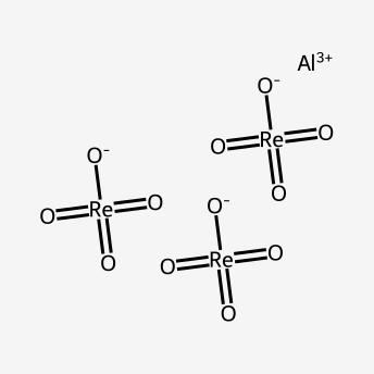 [Al+3].[O]=[Re](=[O])(=[O])[O-].[O]=[Re](=[O])(=[O])[O-].[O]=[Re](=[O])(=[O])[O-]